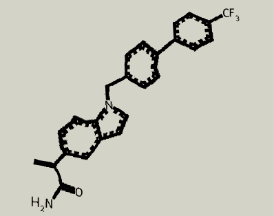 C=C(C(N)=O)c1ccc2c(ccn2Cc2ccc(-c3ccc(C(F)(F)F)cc3)cc2)c1